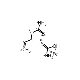 C=CCOC(N)=S.NC(O)=S.[Fe]